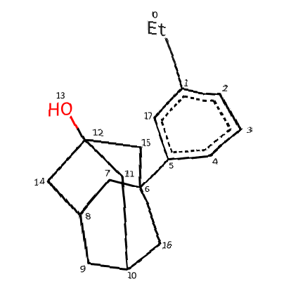 CCc1cccc(C23CC4CC(CC(O)(C4)C2)C3)c1